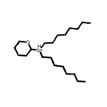 CCCCCCC[CH2][SnH]([CH2]CCCCCCC)[CH]1CCCCO1